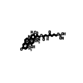 C[C@H]1C[C@H]2[C@@H]3CCC4=CC(=O)C=C[C@]4(C)[C@@]3(Cl)[C@@H](O)C[C@]2(C)C1(O)C(=O)COC(=O)CNC(=O)CCCON(O)O